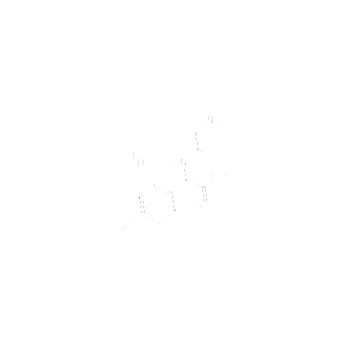 Cl.Cl.NCCNC(C(=O)O)c1ccc(F)cc1